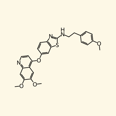 COc1ccc(CCNc2nc3ccc(Oc4ccnc5cc(OC)c(OC)cc45)cc3s2)cc1